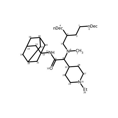 CCCCCCCCCCCCC(CCCCCCCCCC)CN(C)C(C(=O)NC12CC3CC(CC(C3)C1)C2)C1CCN(CC)CC1